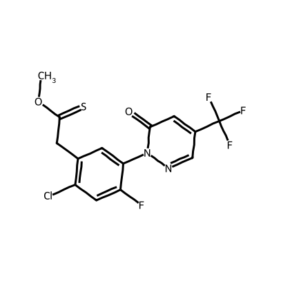 COC(=S)Cc1cc(-n2ncc(C(F)(F)F)cc2=O)c(F)cc1Cl